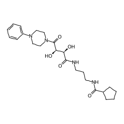 O=C(NCCCNC(=O)[C@H](O)[C@@H](O)C(=O)N1CCN(c2ccccc2)CC1)C1CCCC1